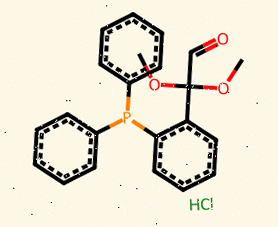 COC(C=O)(OC)c1ccccc1P(c1ccccc1)c1ccccc1.Cl